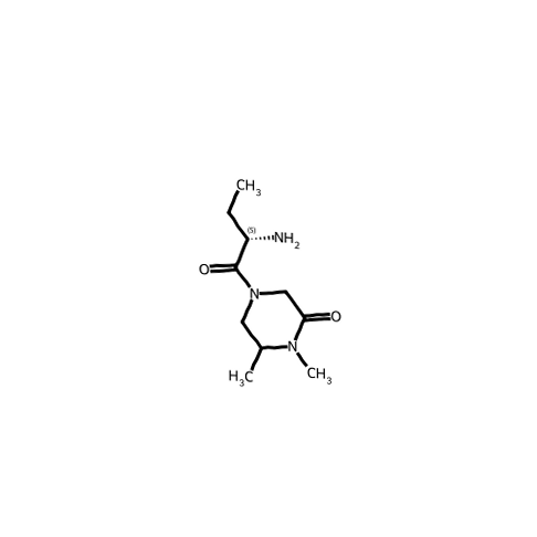 CC[C@H](N)C(=O)N1CC(=O)N(C)C(C)C1